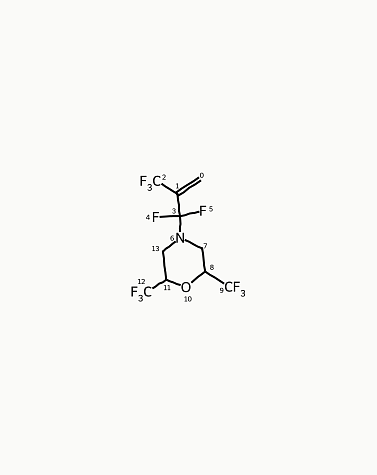 C=C(C(F)(F)F)C(F)(F)N1CC(C(F)(F)F)OC(C(F)(F)F)C1